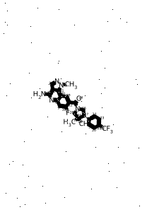 Cn1ncc2c(N)nc3cc(F)c(C(=O)N4C[C@H](c5ccc(C(F)(F)F)cc5)C(C)(C)C4)cc3c21